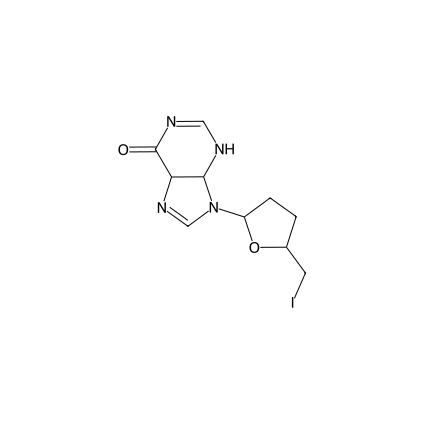 O=C1N=CNC2C1N=CN2C1CCC(CI)O1